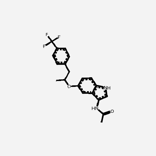 CC(=O)Nc1c[nH]c2ccc(OC(C)Cc3ccc(C(F)(F)F)cc3)cc12